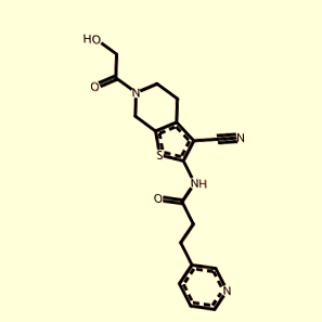 N#Cc1c(NC(=O)CCc2cccnc2)sc2c1CCN(C(=O)CO)C2